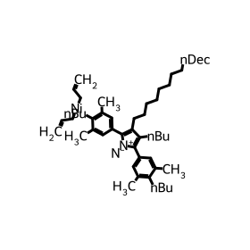 C=C[CH2][Ni][CH2]C=C.CCCCCCCCCCCCCCCCCCC1=C(c2cc(C)c(CCCC)c(C)c2)[N+](=[N-])C(c2cc(C)c(CCCC)c(C)c2)=C1CCCC